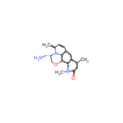 C=C1C=Cc2cc3c(C)cc(=O)n(C)c3c3c2N1[C@@H](CN)CO3